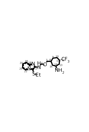 CCSc1c(NCOCC2CC[C@H](C(F)(F)F)CC(N)C2)nc2ccccn12